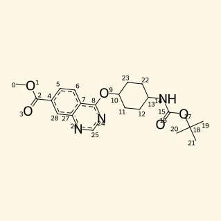 COC(=O)c1ccc2c(OC3CCC(NC(=O)OC(C)(C)C)CC3)ncnc2c1